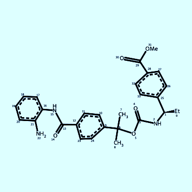 CC[C@@H](NC(=O)OC(C)(C)c1ccc(C(=O)Nc2ccccc2N)cc1)c1ccc(C(=O)OC)cc1